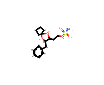 NS(=O)(=O)OCCC1OC2(CCCC2)OC1Cc1ccccc1